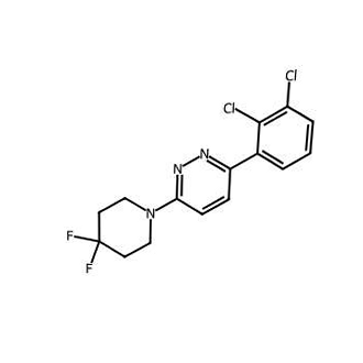 FC1(F)CCN(c2ccc(-c3cccc(Cl)c3Cl)nn2)CC1